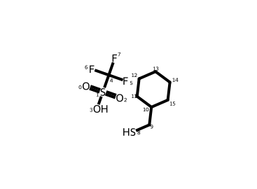 O=S(=O)(O)C(F)(F)F.SCC1CCCCC1